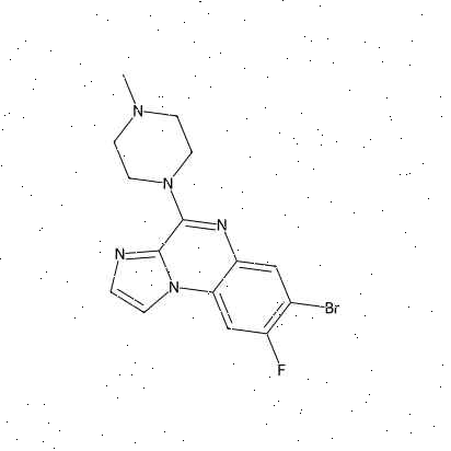 CN1CCN(c2nc3cc(Br)c(F)cc3n3ccnc23)CC1